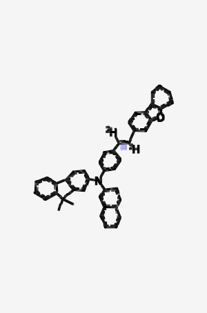 [2H]/C(=C(/[2H])c1ccc2c(c1)oc1ccccc12)c1ccc(N(c2ccc3c(c2)C(C)(C)c2ccccc2-3)c2ccc3ccccc3c2)cc1